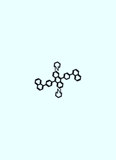 C1=C(c2cccc3ccccc23)CCC(c2c3cc(N4CCCCC4)ccc3c(-c3ccc(-c4cccc5ccccc45)cc3)c3cc(N4CCCCC4)ccc23)=C1